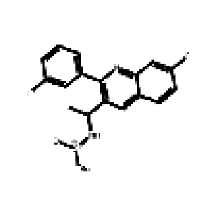 CC(N[S@+]([O-])C(C)(C)C)c1cc2ccc(F)cc2nc1-c1cccc(F)c1